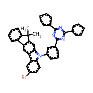 CC1(C)c2ccccc2-c2cc3c4cc(Br)ccc4n(-c4cccc(-c5nc(-c6ccccc6)nc(-c6ccccc6)n5)c4)c3cc21